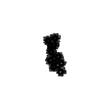 c1ccc(-c2c3ccccc3c(-c3c4ccccc4c(-c4ccc5sc6c(ccc7c8ccccc8c8ccccc8c76)c5c4)c4ccccc34)c3ccccc23)cc1